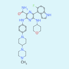 CN1CCN(C2CCN(c3ccc(Nc4nc(NC5CCOCC5)c(-c5c(F)ccc6[nH]ccc56)nc4C(N)=O)cc3)CC2)CC1